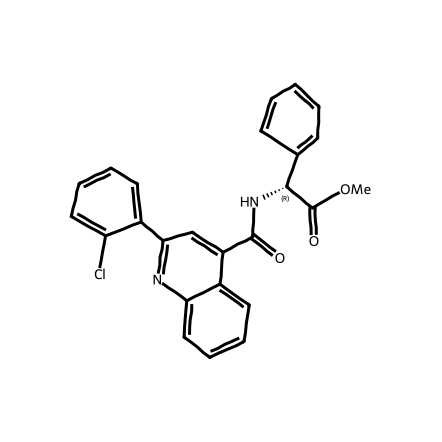 COC(=O)[C@H](NC(=O)c1cc(-c2ccccc2Cl)nc2ccccc12)c1ccccc1